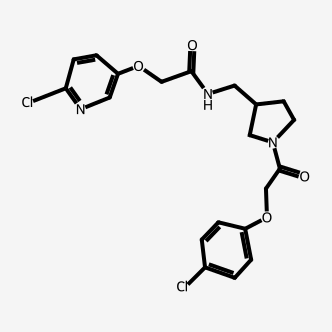 O=C(COc1ccc(Cl)nc1)NCC1CCN(C(=O)COc2ccc(Cl)cc2)C1